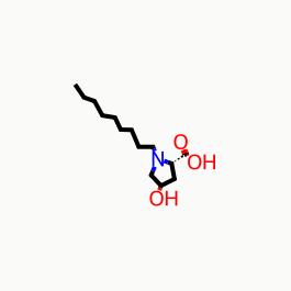 CCCCCCCCCN1CC(O)C[C@H]1C(=O)O